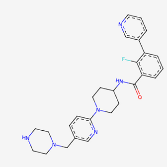 O=C(NC1CCN(c2ccc(CN3CCNCC3)cn2)CC1)c1cccc(-c2cccnc2)c1F